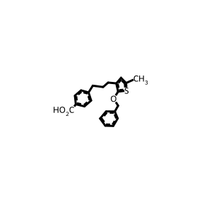 Cc1cc(CCCc2ccc(C(=O)O)cc2)c(OCc2ccccc2)s1